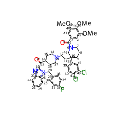 COc1cc(C(=O)N2CCCC(CCN3CCC(C(=O)c4nc5ccccc5n4Cc4ccc(F)cc4)CC3)(c3ccc(Cl)c(Cl)c3)C2)cc(OC)c1OC